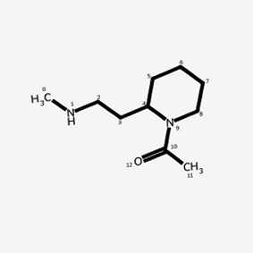 CNCCC1CCCCN1C(C)=O